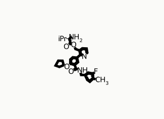 Cc1ccc(CNC(=O)c2cc(-c3ncccc3COC(=O)[C@@H](N)C(C)C)ccc2OC2CCCC2)cc1F